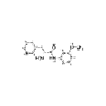 N[C@H](Cc1cccnc1)C(=O)Nc1cccc(OC(F)(F)F)c1